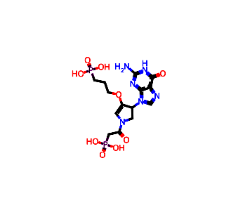 Nc1nc2c(ncn2C2CN(C(=O)CP(=O)(O)O)C=C2OCCCP(=O)(O)O)c(=O)[nH]1